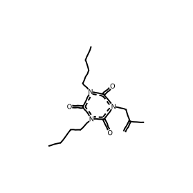 C=C(C)Cn1c(=O)n(CCCC)c(=O)n(CCCC)c1=O